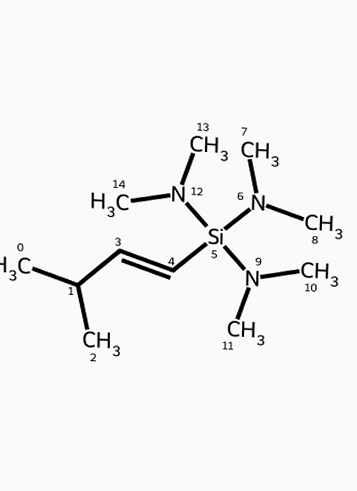 CC(C)C=C[Si](N(C)C)(N(C)C)N(C)C